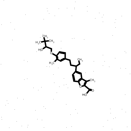 CCC(CCc1ccc(OCC(O)C(C)(C)C)c(C)c1)c1ccc2oc(C(=O)O)c(C)c2c1